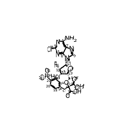 Nc1nc(Cl)nc2c1ncn2[C@@H]1O[C@H](COC(Cc2ccc([N+](=O)[O-])cc2)(C(=O)O)C(=O)O)[C@@H](O)[C@@H]1F